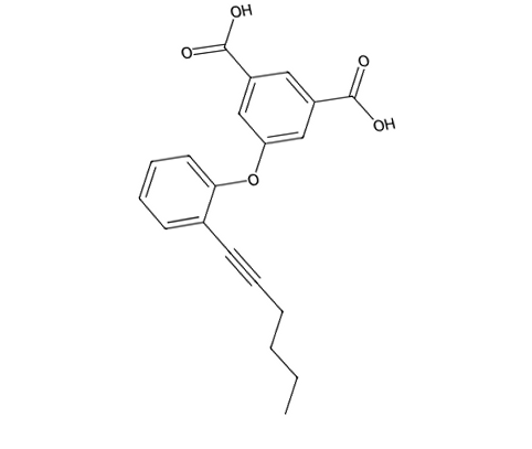 CCCCC#Cc1ccccc1Oc1cc(C(=O)O)cc(C(=O)O)c1